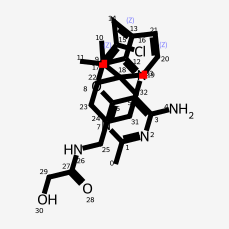 Cc1nc(N)c2c(n1)OC(C)(C)C(C1=C\C(Cl)=C\C3(C/C=C\1)CCC(CNC(=O)CO)CC3)=N2